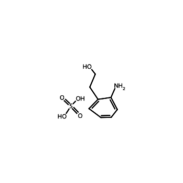 Nc1ccccc1CCO.O=S(=O)(O)O